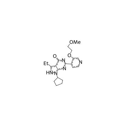 CCc1[nH]n(C2CCCC2)c2nc(-c3ccncc3OCCOC)nc(=O)c1-2